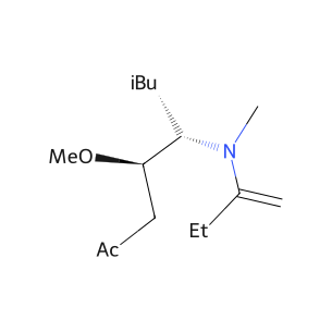 C=C(CC)N(C)[C@@H]([C@@H](C)CC)[C@@H](CC(C)=O)OC